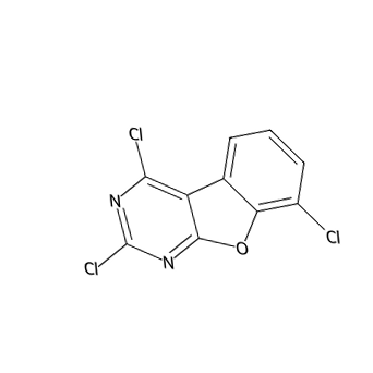 Clc1nc(Cl)c2c(n1)oc1c(Cl)cccc12